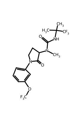 CN(C(=O)NC(C)(C)C(F)(F)F)C1CCN(c2cccc(OC(F)(F)F)c2)C1=O